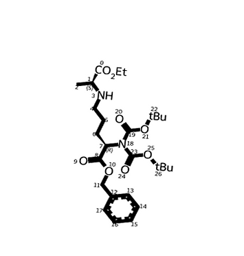 CCOC(=O)[C@H](C)NCCC[C@H](C(=O)OCc1ccccc1)N(C(=O)OC(C)(C)C)C(=O)OC(C)(C)C